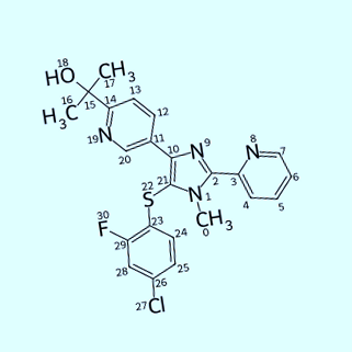 Cn1c(-c2ccccn2)nc(-c2ccc(C(C)(C)O)nc2)c1Sc1ccc(Cl)cc1F